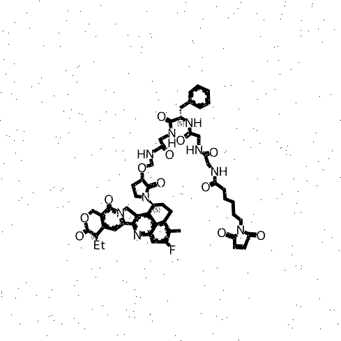 CC[C@H]1C(=O)OCc2c1cc1n(c2=O)Cc2c-1nc1cc(F)c(C)c3c1c2[C@@H](N1CCC(OCNC(=O)CNC(=O)[C@H](Cc2ccccc2)NC(=O)CNC(=O)CNC(=O)CCCCCN2C(=O)C=CC2=O)C1=O)CC3